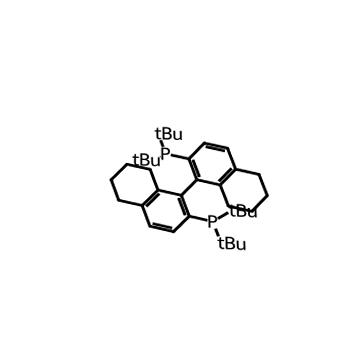 CC(C)(C)P(c1ccc2c(c1-c1c(P(C(C)(C)C)C(C)(C)C)ccc3c1CCCC3)CCCC2)C(C)(C)C